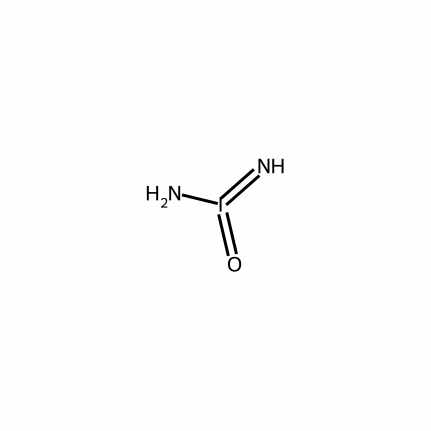 N=I(N)=O